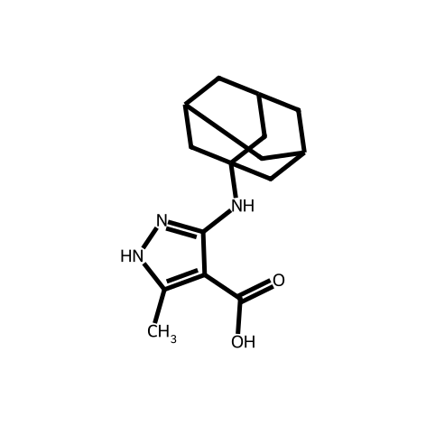 Cc1[nH]nc(NC23CC4CC(CC(C4)C2)C3)c1C(=O)O